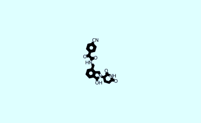 N#Cc1ccc(C(=O)C(=O)NCc2cccc3c2CN(C2CCC(=O)NC2=O)C3O)cc1